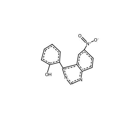 O=[N+]([O-])c1ccc2ncnc(-c3ccccc3O)c2c1